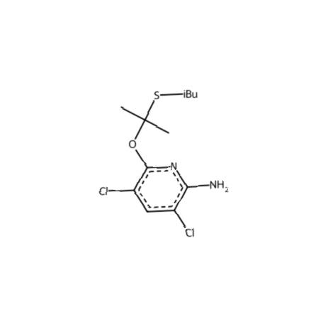 CCC(C)SC(C)(C)Oc1nc(N)c(Cl)cc1Cl